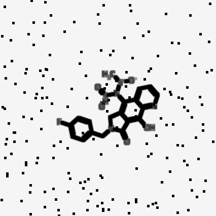 C[S+]([O-])N(c1c2c(c(O)c3ncccc13)C(=O)N(Cc1ccc(F)cc1)C2)[SH](=O)=O